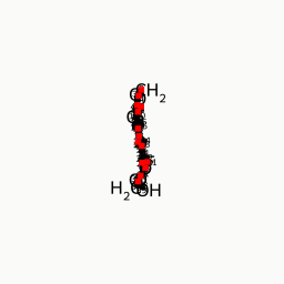 C=CC(=O)OCc1ccc(SC(=O)c2ccc(C#Cc3ccc(C#Cc4ccc(OCCCOC(=O)C(=C)CO)c(F)c4)cc3)cc2)cc1